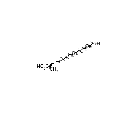 CC(=COCCOCCOCCOCCOCCOCCO)C(=O)O